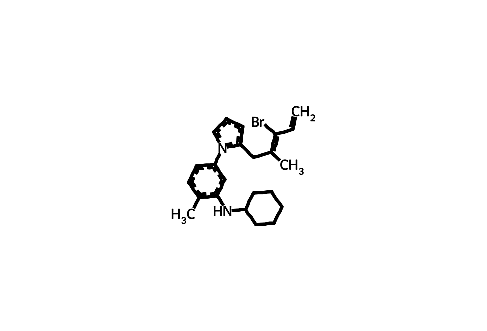 C=C/C(Br)=C(\C)Cc1cccn1-c1ccc(C)c(NC2CCCCC2)c1